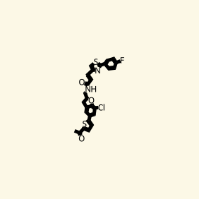 CC(=O)c1ccc(-c2cc(Cl)c3c(c2)CC(CNC(=O)C=Cc2csc(-c4ccc(F)cc4)n2)O3)s1